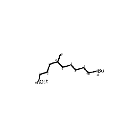 CCCCCCCCCCCC(C)CCCCCC(C)CC